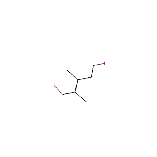 CC(CI)C(C)CCI